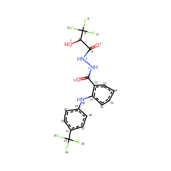 O=C(NNC(=O)C(O)C(F)(F)F)c1ccccc1Nc1ccc(C(F)(F)F)cc1